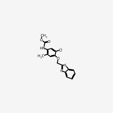 COC(=O)Nc1cc(Cl)c(OCc2nc3ccccc3s2)cc1C